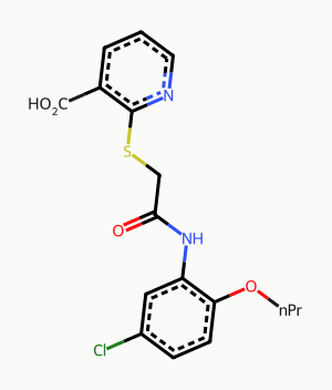 CCCOc1ccc(Cl)cc1NC(=O)CSc1ncccc1C(=O)O